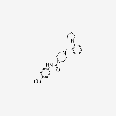 CC(C)(C)c1ccc(NC(=O)N2CCN(Cc3ccccc3N3CCCC3)CC2)cc1